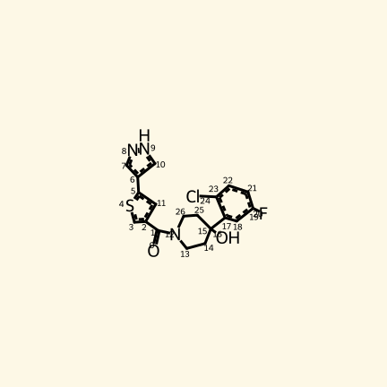 O=C(c1csc(-c2cn[nH]c2)c1)N1CCC(O)(c2cc(F)ccc2Cl)CC1